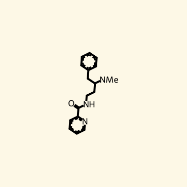 CNC(CCNC(=O)c1ccccn1)Cc1ccccc1